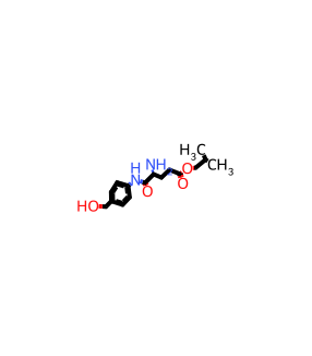 CC(C)COC(=O)CC[C@H](N)C(=O)Nc1ccc(CO)cc1